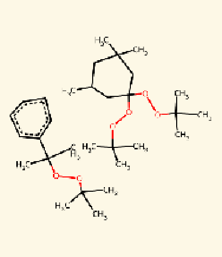 CC(C)(C)OOC(C)(C)c1ccccc1.CC1CC(C)(C)CC(OOC(C)(C)C)(OOC(C)(C)C)C1